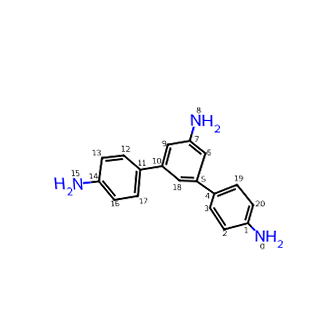 Nc1ccc(-c2cc(N)cc(-c3ccc(N)cc3)c2)cc1